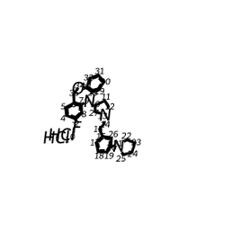 Cl.Cl.Fc1ccc2c(c1)N(C1CCN(CCc3cccc(N4CCCC4)c3)C1)c1ccccc1OC2